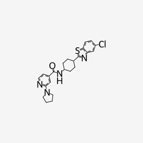 O=C(NC1CCC(c2nc3cc(Cl)ccc3s2)CC1)c1ccnc(N2CCCC2)c1